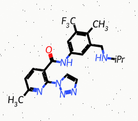 Cc1ccc(C(=O)Nc2cc(CNC(C)C)c(C)c(C(F)(F)F)c2)c(-n2ccnn2)n1